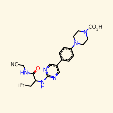 CC(C)CC(Nc1ncc(-c2ccc(N3CCN(C(=O)O)CC3)cc2)cn1)C(=O)NCC#N